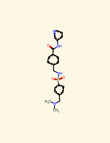 CN(C)Cc1ccc(S(=O)(=O)NCc2ccc(C(=O)Nc3cccnc3)cc2)cc1